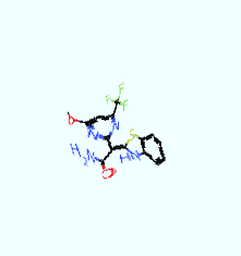 COc1cc(C(F)(F)F)nc(/C(C(N)=O)=C2/Nc3ccccc3S2)n1